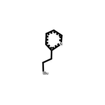 CC(C)(C)CCc1ccccn1